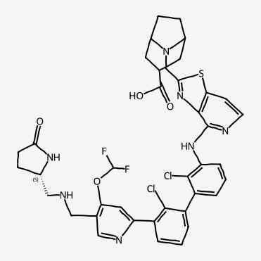 O=C1CC[C@@H](CNCc2cnc(-c3cccc(-c4cccc(Nc5nccc6sc(CN7C8CCC7CC(C(=O)O)C8)nc56)c4Cl)c3Cl)cc2OC(F)F)N1